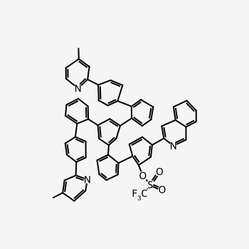 Cc1ccnc(-c2ccc(-c3ccccc3-c3cc(-c4ccccc4-c4ccc(-c5cc(C)ccn5)cc4)cc(-c4ccccc4-c4ccc(-c5cc6ccccc6cn5)cc4OS(=O)(=O)C(F)(F)F)c3)cc2)c1